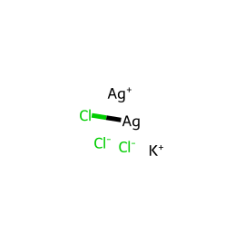 [Ag+].[Cl-].[Cl-].[Cl][Ag].[K+]